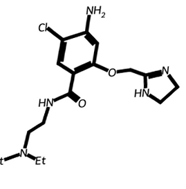 CCN(CC)CCNC(=O)c1cc(Cl)c(N)cc1OCC1=NCCN1